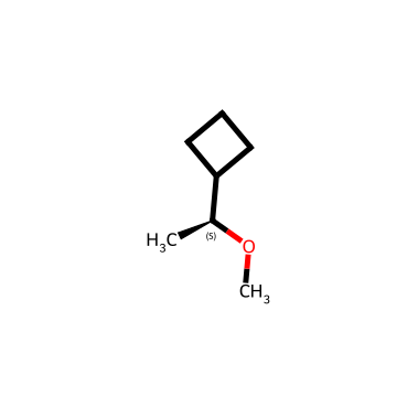 CO[C@@H](C)C1CCC1